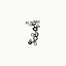 COc1cc(N2CCC3(CCN(C(=O)c4cccn4C)CC3)C2=O)ccc1/C(C=N)=C/N